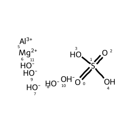 O=S(=O)(O)O.[Al+3].[Mg+2].[OH-].[OH-].[OH-].[OH-].[OH-]